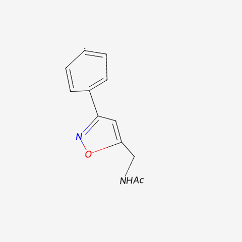 CC(=O)NCc1cc(-c2cc[c]cc2)no1